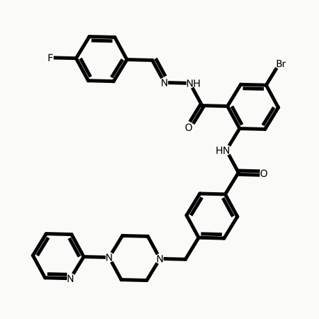 O=C(Nc1ccc(Br)cc1C(=O)NN=Cc1ccc(F)cc1)c1ccc(CN2CCN(c3ccccn3)CC2)cc1